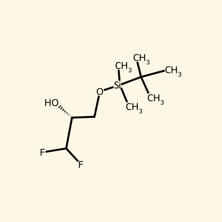 CC(C)(C)[Si](C)(C)OC[C@@H](O)C(F)F